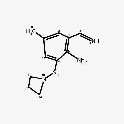 Cc1cc(C=N)c(N)c(SN2CCC2)c1